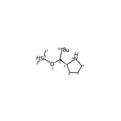 C[SiH](C)OC([C@@H]1CCCN1)C(C)(C)C